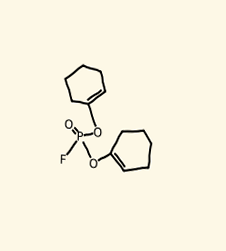 O=P(F)(OC1=CCCCC1)OC1=CCCCC1